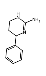 NC1=NC(c2ccccc2)CCN1